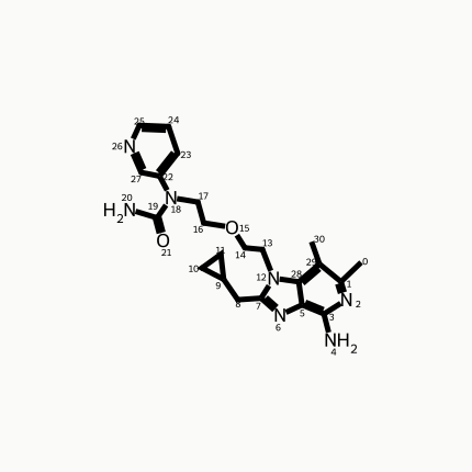 Cc1nc(N)c2nc(CC3CC3)n(CCOCCN(C(N)=O)c3cccnc3)c2c1C